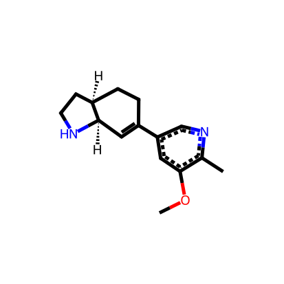 COc1cc(C2=C[C@H]3NCC[C@H]3CC2)cnc1C